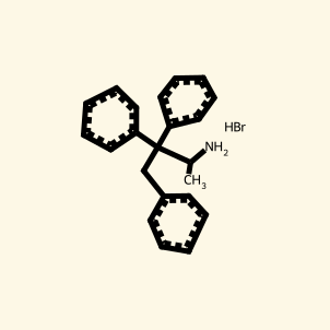 Br.CC(N)C(Cc1ccccc1)(c1ccccc1)c1ccccc1